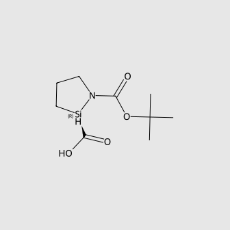 CC(C)(C)OC(=O)N1CCC[Si@@H]1C(=O)O